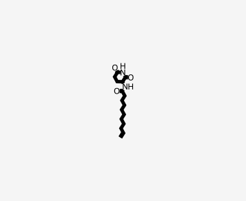 C=CCCCCCCCCC(=O)NC1CCC(=O)NC1=O